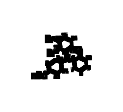 CCCCc1ccc(N2c3ccccc3Oc3ccc(Br)c(Br)c32)cc1